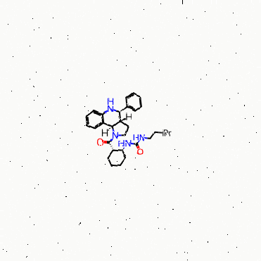 CC(C)CCNC(=O)N[C@@H]1CCCC[C@@H]1C(=O)N1CC[C@H]2[C@H](c3ccccc3)Nc3ccccc3[C@@H]21